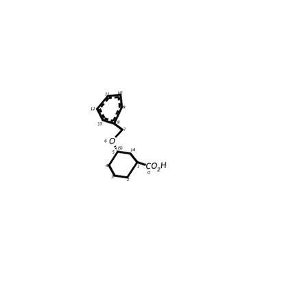 O=C(O)C1CCC[C@H](OCc2ccccc2)C1